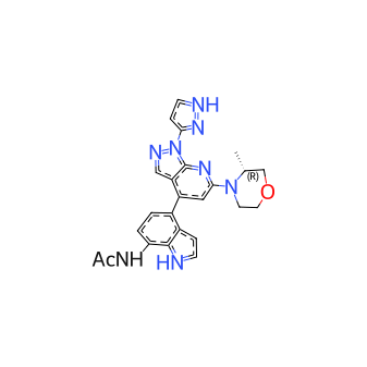 CC(=O)Nc1ccc(-c2cc(N3CCOC[C@H]3C)nc3c2cnn3-c2cc[nH]n2)c2cc[nH]c12